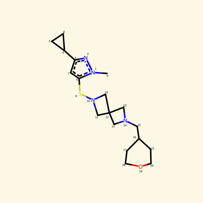 Cn1nc(C2CC2)cc1SN1CC2(CN(CC3CCOCC3)C2)C1